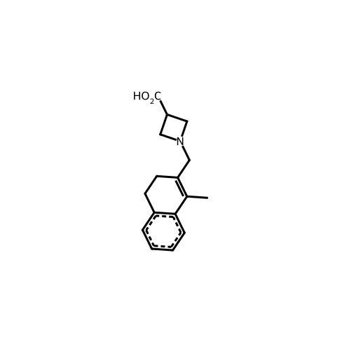 CC1=C(CN2CC(C(=O)O)C2)CCc2ccccc21